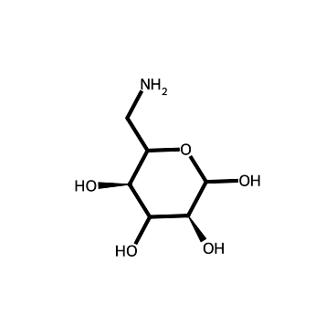 NCC1OC(O)[C@@H](O)C(O)[C@H]1O